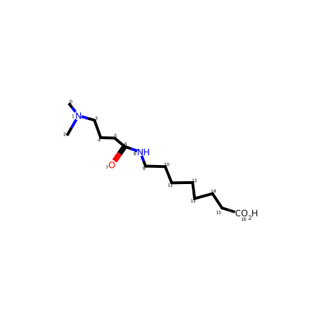 CN(C)CCCC(=O)NCCCCCCCC(=O)O